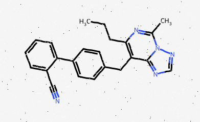 CCCc1nc(C)n2ncnc2c1Cc1ccc(-c2ccccc2C#N)cc1